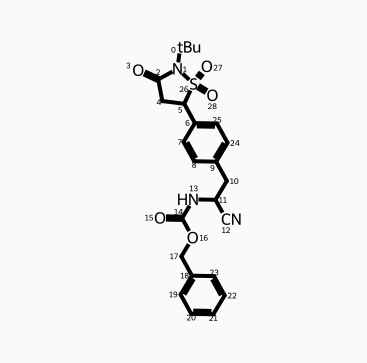 CC(C)(C)N1C(=O)CC(c2ccc(CC(C#N)NC(=O)OCc3ccccc3)cc2)S1(=O)=O